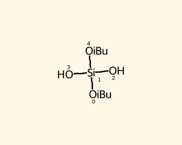 CC(C)CO[Si](O)(O)OCC(C)C